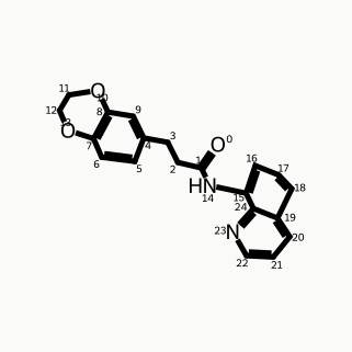 O=C(CCc1ccc2c(c1)OCCO2)Nc1cccc2cccnc12